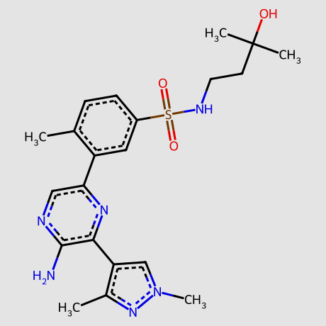 Cc1ccc(S(=O)(=O)NCCC(C)(C)O)cc1-c1cnc(N)c(-c2cn(C)nc2C)n1